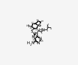 CC(C)CNCCn1c(Sc2cc3sccc3cc2I)nc2c(N)ncnc21